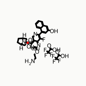 CC(C)(C)OC(=O)N1[C@@H]2CC[C@H]1CN(c1nc(OCCN)nc3c(F)c(-c4cc(O)cc5ccccc45)ncc13)C2.O=C(O)C(F)(F)F.O=C(O)C(F)(F)F